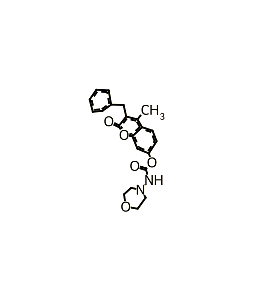 Cc1c(Cc2ccccc2)c(=O)oc2cc(OC(=O)NN3CCOCC3)ccc12